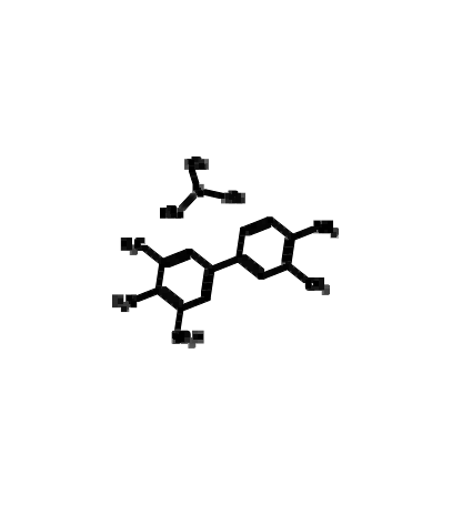 CCCCN(CCCC)CCCC.Cc1cc(-c2cc(C)c(N)c(S(=O)(=O)O)c2)ccc1N